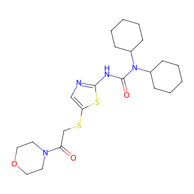 O=C(CSc1cnc(NC(=O)N(C2CCCCC2)C2CCCCC2)s1)N1CCOCC1